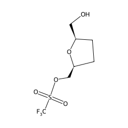 O=S(=O)(OC[C@@H]1CC[C@H](CO)O1)C(F)(F)F